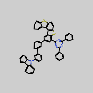 c1ccc(-c2nc(-c3ccccc3)nc(-c3cc(-c4cccc(-c5cccc(-n6c7ccccc7c7ccccc76)c5)c4)cc4c3sc3ccc5sc6ccccc6c5c34)n2)cc1